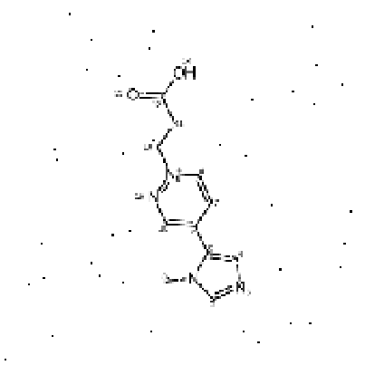 Cn1cncc1-c1cc[n+](CCC(=O)O)nc1